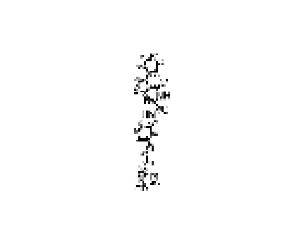 O=C(NCc1cccc(OCCOc2nc[nH]n2)c1)c1nc2scc(-c3ccncc3)c2c(=O)[nH]1